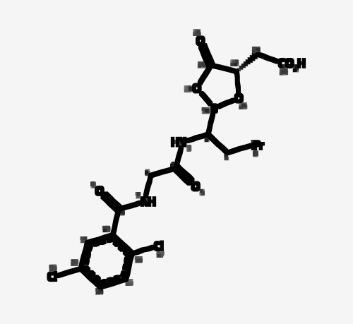 CC(C)CC(NC(=O)CNC(=O)c1cc(Cl)ccc1Cl)B1OC(=O)[C@H](CC(=O)O)O1